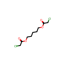 O=C(CCl)OCCCCCOC(=O)CCl